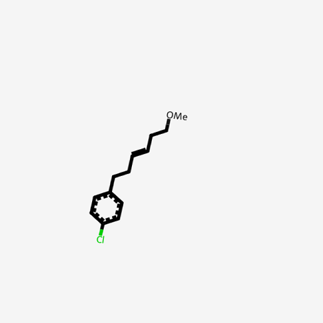 [CH2]OCCC=CCCc1ccc(Cl)cc1